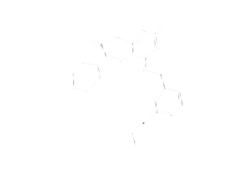 CCC(F)(F)c1cccc([C@@H](C)Nc2nc(C)nc3[nH]c(=O)c([C@H]4CC[C@@H](O)CC4)cc23)c1F